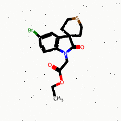 CCOC(=O)CN1C(=O)C2(CCSCC2)c2cc(Br)ccc21